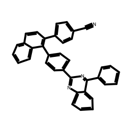 N#Cc1ccc(-c2ccc3ccccc3c2-c2ccc(-c3nc(-c4ccccc4)c4ccccc4n3)cc2)cc1